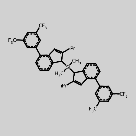 CC(C)C1=Cc2c(-c3cc(C(F)(F)F)cc(C(F)(F)F)c3)cccc2C1[Si](C)(C)C1C(C(C)C)=Cc2c(-c3cc(C(F)(F)F)cc(C(F)(F)F)c3)cccc21